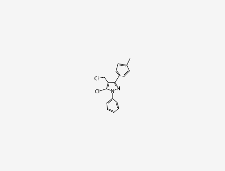 Cc1ccc(-c2nn(-c3ccccc3)c(Cl)c2CCl)cc1